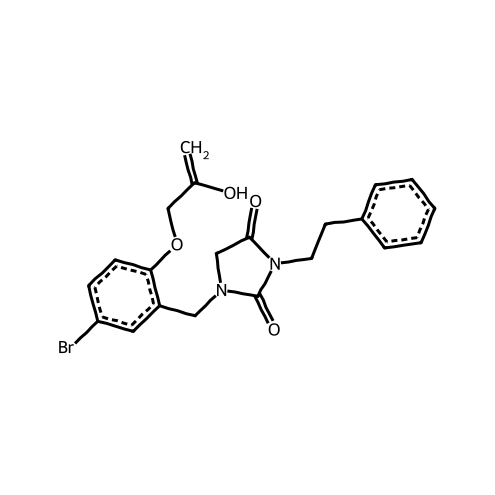 C=C(O)COc1ccc(Br)cc1CN1CC(=O)N(CCc2ccccc2)C1=O